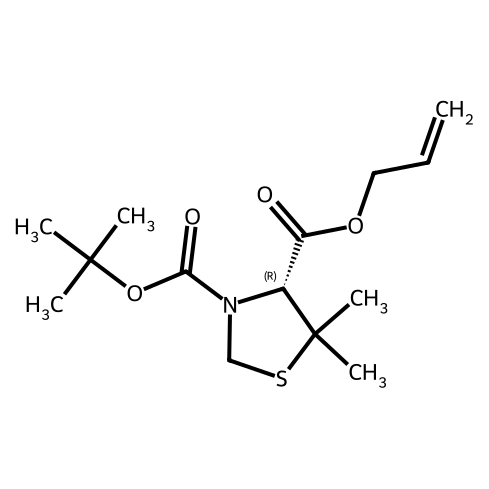 C=CCOC(=O)[C@H]1N(C(=O)OC(C)(C)C)CSC1(C)C